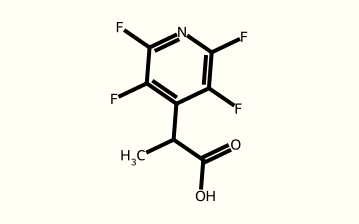 CC(C(=O)O)c1c(F)c(F)nc(F)c1F